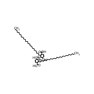 CCCCCCCCCCCCCCCCCCCCCCCCc1c(C(=O)O)ccc(O)c1S(=O)(=O)c1c(O)ccc(C(=O)O)c1CCCCCCCCCCCCCCCCCCCCCCCC